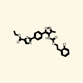 CCOC(=O)c1cnc(-c2ccc(-c3onc(C)c3NC(=O)OCCc3ccccc3Cl)cc2)s1